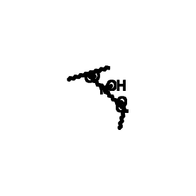 CCCCCCCCC(CCCCCCCC)OC(=O)CCCCCN(CCO)CCCCCCCC(=O)OCC(C)CCCCCCC